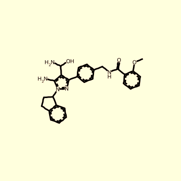 COc1ccccc1C(=O)NCc1ccc(-c2nn(C3CCc4ccccc43)c(N)c2C(N)O)cc1